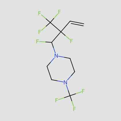 C=CC(F)(C(F)N1CCN(C(F)(F)F)CC1)C(F)(F)F